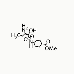 C=C/C(N)=C(/O)S(=O)(=O)N[C@H]1CC[C@H](C(=O)OC)CC1